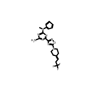 CN(c1ccccc1)c1nc(N)nc(-c2noc(N3CCC(=CCC(F)(F)F)CC3)n2)n1